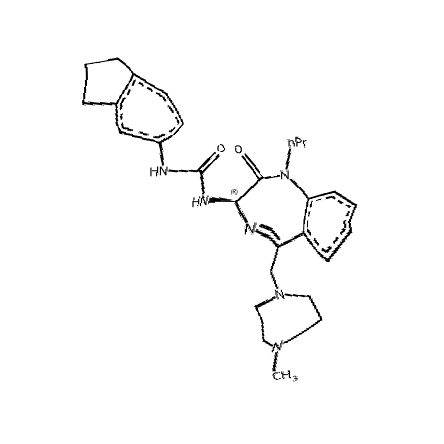 CCCN1C(=O)[C@H](NC(=O)Nc2ccc3c(c2)CCC3)N=C(N2CCN(C)CC2)c2ccccc21